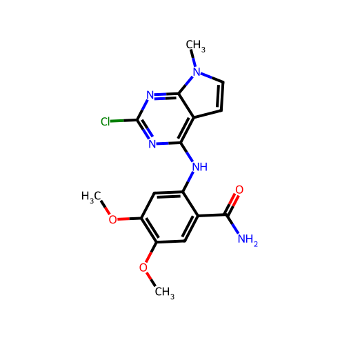 COc1cc(Nc2nc(Cl)nc3c2ccn3C)c(C(N)=O)cc1OC